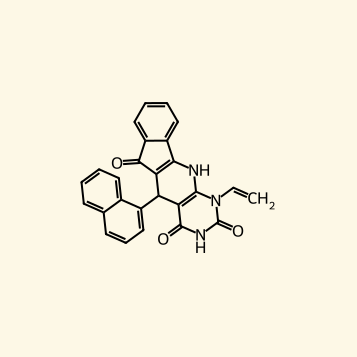 C=Cn1c2c(c(=O)[nH]c1=O)C(c1cccc3ccccc13)C1=C(N2)c2ccccc2C1=O